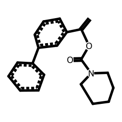 C=C(OC(=O)N1CCCCC1)c1cccc(-c2ccccc2)c1